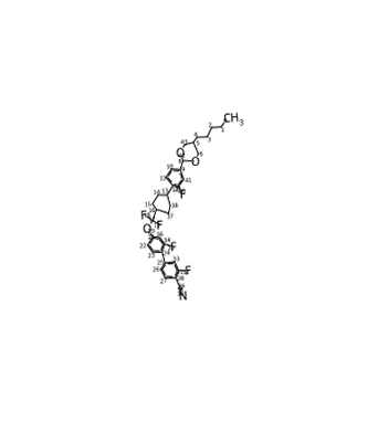 CCCCCC1COC(c2ccc(C3CCC(C(F)(F)Oc4ccc(-c5ccc(C#N)c(F)c5)c(F)c4)CC3)c(F)c2)OC1